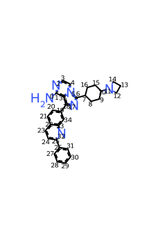 Nc1nccn2c(C3CCC(N4CCC4)CC3)nc(-c3ccc4ccc(-c5ccccc5)nc4c3)c12